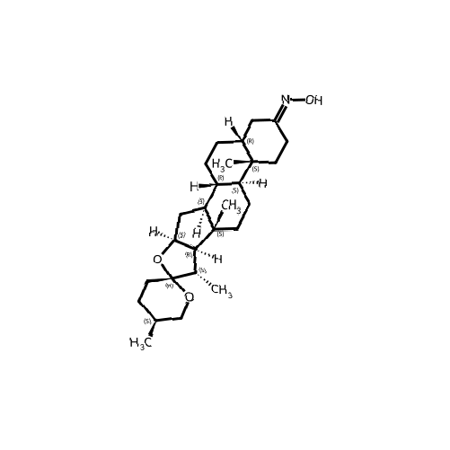 C[C@H]1CC[C@@]2(OC1)O[C@H]1C[C@H]3[C@@H]4CC[C@@H]5CC(=NO)CC[C@]5(C)[C@H]4CC[C@]3(C)[C@H]1[C@@H]2C